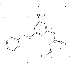 C[C@@H](COP)Oc1cc(OCc2ccccc2)cc(C(=O)O)c1